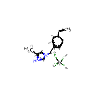 C=Cc1ccc(C[n+]2c[nH]c(C)c2)cc1.F[B-](F)(F)F